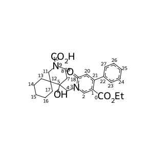 CCOC(=O)c1cn(CC2(O)CCN(C(=O)O)CC23CCCCC3)c(=O)cc1-c1ccccc1